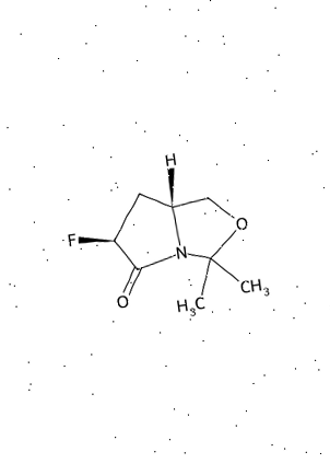 CC1(C)OC[C@H]2C[C@H](F)C(=O)N21